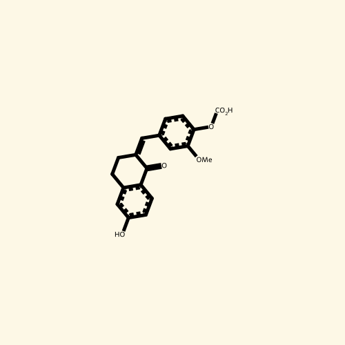 COc1cc(C=C2CCc3cc(O)ccc3C2=O)ccc1OC(=O)O